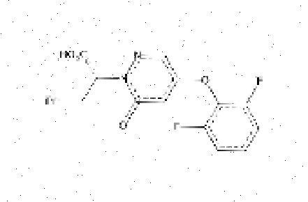 CC(C)C[C@H](C(=O)O)n1ncc(Oc2c(F)cccc2F)cc1=O